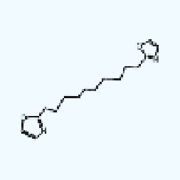 c1coc(CCCCCCCCCCc2ncco2)n1